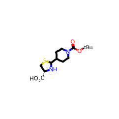 CC(C)(C)OC(=O)N1CCC(C2N[C@H](C(=O)O)CS2)CC1